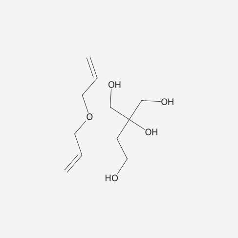 C=CCOCC=C.OCCC(O)(CO)CO